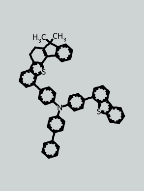 CC1(C)C2=C(c3ccccc31)c1sc3c(-c4ccc(N(c5ccc(-c6ccccc6)cc5)c5ccc(-c6cccc7c6sc6ccccc67)cc5)cc4)cccc3c1CC2